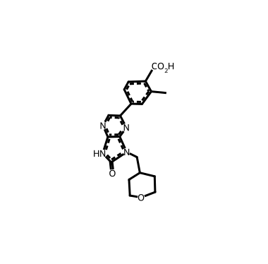 Cc1cc(-c2cnc3[nH]c(=O)n(CC4CCOCC4)c3n2)ccc1C(=O)O